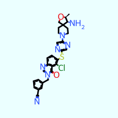 C[C@@H]1OCC2(CCN(c3cnc(Sc4ccc5ncn(Cc6cccc(C#N)c6)c(=O)c5c4Cl)cn3)CC2)[C@@H]1N